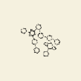 c1ccc(-c2ccc(-c3nc(-c4ccccc4)nc(-c4ccccc4-c4cccc(-c5ccc6c(c5)C5(c7ccccc7-6)c6ccccc6N(c6ccccc6)c6ccccc65)c4)n3)cc2)cc1